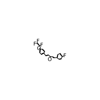 O=C(C=Cc1ccc(F)cc1)C=Cc1ccc(OC(F)=C(F)F)cc1